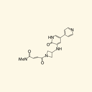 CNC(=O)C=CC(=O)N1CC(Nc2cc(-c3ccncc3)c[nH]c2=O)C1